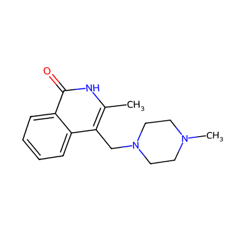 Cc1[nH]c(=O)c2ccccc2c1CN1CCN(C)CC1